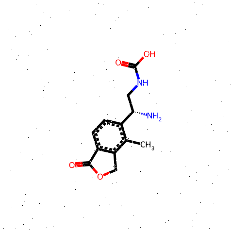 Cc1c([C@@H](N)CNC(=O)O)ccc2c1COC2=O